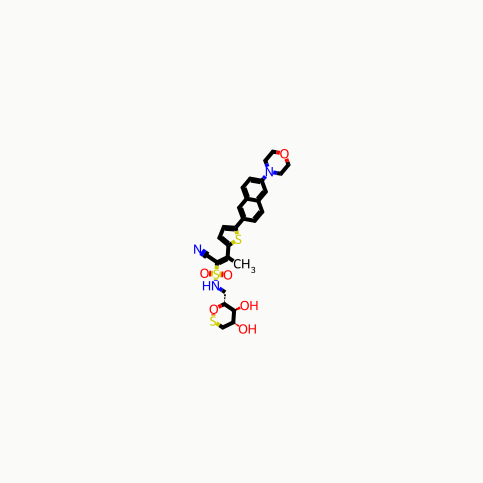 C/C(=C(/C#N)S(=O)(=O)NC[C@H]1OSC[C@@H](O)[C@@H]1O)c1ccc(-c2ccc3cc(N4CCOCC4)ccc3c2)s1